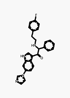 O=C(c1c[nH]c2cc(-n3ccnc3)ccc12)C(NCCc1ccc(F)cc1)c1ccccc1